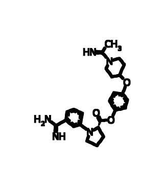 CC(=N)N1CCC(Oc2ccc(OC(=O)[C@@H]3CCCN3c3cccc(C(=N)N)c3)cc2)CC1